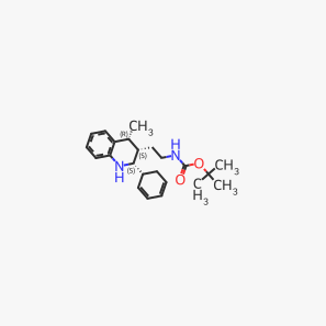 C[C@H]1c2ccccc2N[C@@H](C2C=CC=CC2)[C@H]1CCNC(=O)OC(C)(C)C